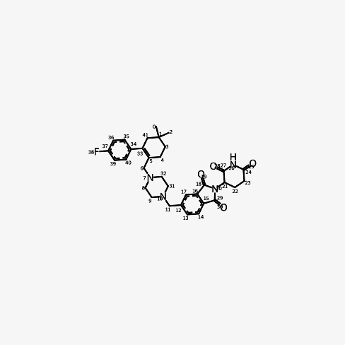 CC1(C)CCC(CN2CCN(Cc3ccc4c(c3)C(=O)N(C3CCC(=O)NC3=O)C4=O)CC2)=C(c2ccc(F)cc2)C1